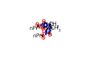 CCCC(=O)OCN1C(=O)CN(C(C)C(C)N2CC(=O)N(COC(=O)CCC)C(=O)C2)CC1=O